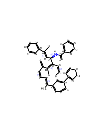 C=C(/C=C\C=C(/CC)c1cccc(C2=CCCC=C2)c1)/C(C)=C(/C=C\C)C(\C=C(/C)c1ccccc1)=N/C(=C)c1ccccc1